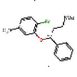 CNCC[C@@H](Oc1cc([N+](=O)[O-])ccc1Br)c1ccccc1